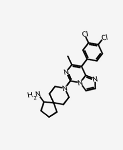 Cc1nc(N2CCC3(CCCC3N)CC2)n2ccnc2c1-c1ccc(Cl)c(Cl)c1